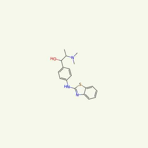 CC(C(O)c1ccc(Nc2nc3ccccc3s2)cc1)N(C)C